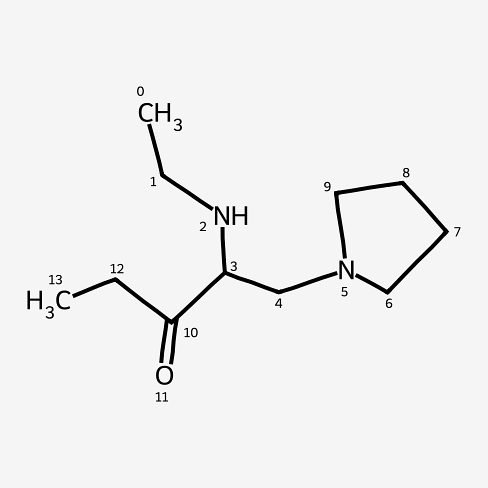 CCNC(CN1CCCC1)C(=O)CC